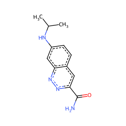 CC(C)Nc1ccc2cc(C(N)=O)nnc2c1